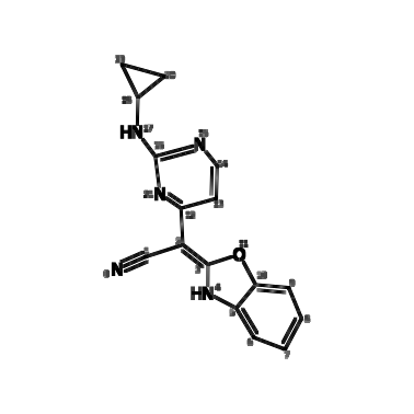 N#CC(=C1Nc2ccccc2O1)c1ccnc(NC2CC2)n1